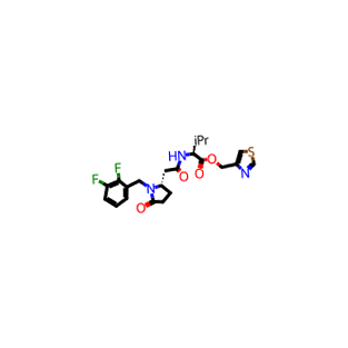 CC(C)[C@H](NC(=O)C[C@@H]1CCC(=O)N1Cc1cccc(F)c1F)C(=O)OCc1cscn1